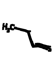 C[CH]C=S